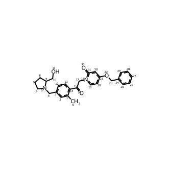 Cc1cc(CN2CCCC2CO)ccc1C(=O)Cn1ccc(OCc2ccccc2)cc1=O